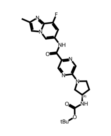 Cc1cn2cc(NC(=O)c3cnc(N4CC[C@@H](NC(=O)OC(C)(C)C)C4)cn3)cc(F)c2n1